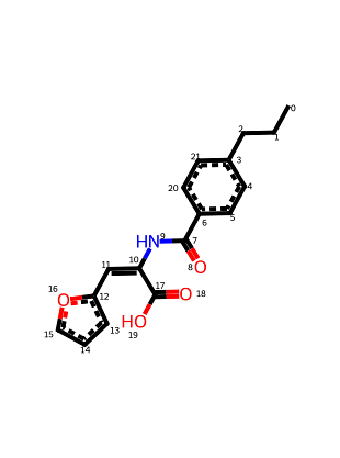 CCCc1ccc(C(=O)NC(=Cc2ccco2)C(=O)O)cc1